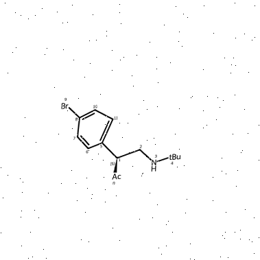 CC(=O)[C@H](CNC(C)(C)C)c1ccc(Br)cc1